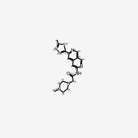 Cc1nnc(-c2cc3cc(NC(=O)CN4CCN(C)CC4)ncc3cn2)s1